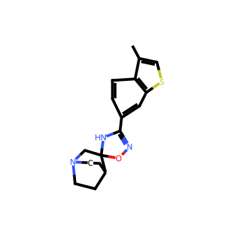 Cc1csc2cc(C3=NOC4(CN5CCC4CC5)N3)ccc12